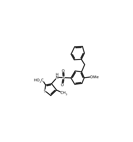 COc1ccc(S(=O)(=O)Nc2c(C)csc2C(=O)O)cc1Cc1ccccc1